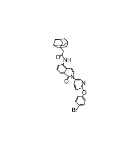 O=C(CC12CC3CC(CC(C3)C1)C2)Nc1cccc2c(=O)n(-c3ccc(Oc4ccc(Br)cc4)nc3)ccc12